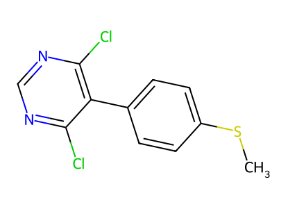 CSc1ccc(-c2c(Cl)ncnc2Cl)cc1